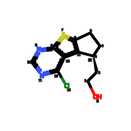 OCC[C@H]1CCc2sc3ncnc(Cl)c3c21